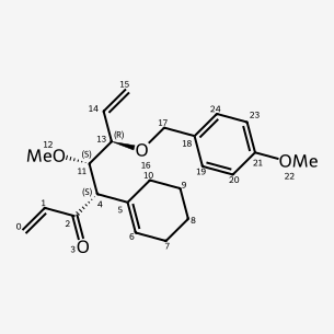 C=CC(=O)[C@@H](C1=CCCCC1)[C@H](OC)[C@@H](C=C)OCc1ccc(OC)cc1